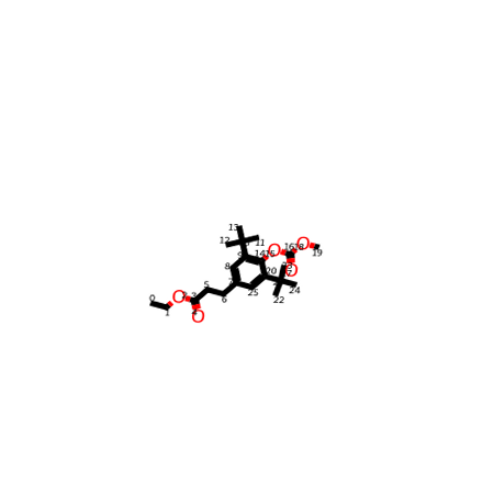 CCOC(=O)CCc1cc(C(C)(C)C)c(OC(=O)OC)c(C(C)(C)C)c1